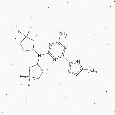 Nc1nc(-c2nc(C(F)(F)F)cs2)nc(N(C2CCC(F)(F)C2)C2CCC(F)(F)C2)n1